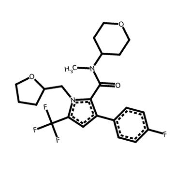 CN(C(=O)c1c(-c2ccc(F)cc2)cc(C(F)(F)F)n1CC1CCCO1)C1CCOCC1